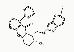 Cc1cccc(-c2ncccn2)c1C(=O)N1CCC[C@@H](C)[C@H]1CNc1nc2ccc(Cl)cc2o1